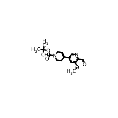 COc1cc(C2=CCN(C(=O)OC(C)(C)C)CC2)cnc1C=O